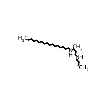 C=CCCNCCC(=C)NCCCCCCCCCCCCCCCCC